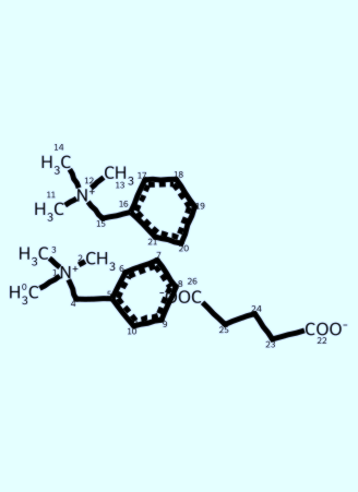 C[N+](C)(C)Cc1ccccc1.C[N+](C)(C)Cc1ccccc1.O=C([O-])CCCC(=O)[O-]